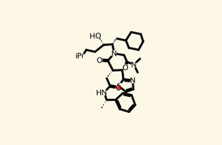 CC(C)CC[C@H](O)[C@H](CC1CCCCC1)N(CC(=O)N(C)C)C(=O)[C@@H](CC(=O)N[C@@H](C)c1ccccc1)Cc1nccs1